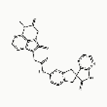 CN1C(=O)Cn2c(=O)n(CC(=O)Nc3ccc4c(c3)CC3(C4)C(=O)Nc4ncccc43)c3ccnc1c32